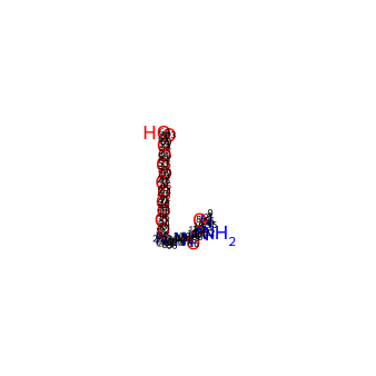 CCCN(CCC)C(=O)C1=Cc2ccc(C(=O)N3CC(N(C)Cc4ccc(CN(C)CCOCCOCCOCCOCCOCCOCCOCCOCCOCCOCCC(=O)O)cc4)C3)cc2N=C(N)C1